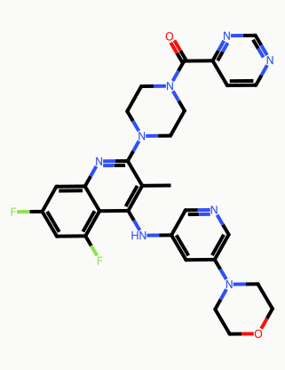 Cc1c(N2CCN(C(=O)c3ccncn3)CC2)nc2cc(F)cc(F)c2c1Nc1cncc(N2CCOCC2)c1